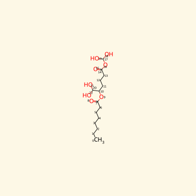 CCCCCCCC(=O)OC(CCCC(=O)OC(O)O)C(O)O